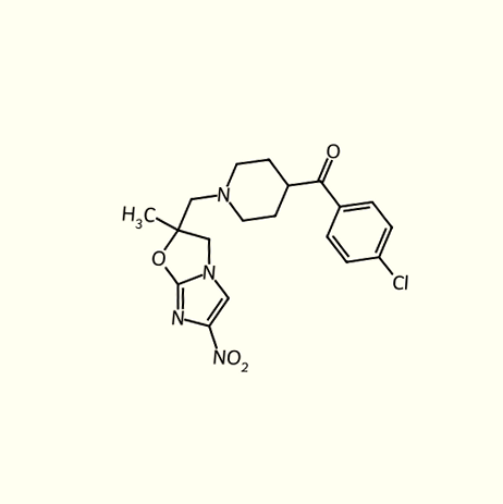 CC1(CN2CCC(C(=O)c3ccc(Cl)cc3)CC2)Cn2cc([N+](=O)[O-])nc2O1